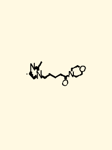 Cc1n[c]cn1CCCCC(=O)N1CCOCC1